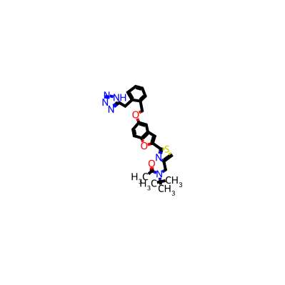 CC(=O)N(Cc1csc(-c2cc3cc(OCc4ccccc4Cc4nnn[nH]4)ccc3o2)n1)C(C)(C)C